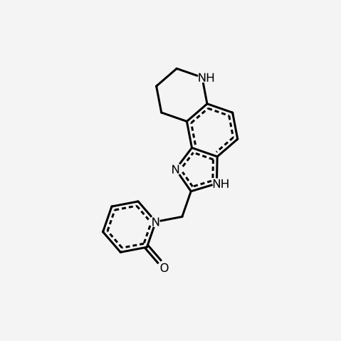 O=c1ccccn1Cc1nc2c3c(ccc2[nH]1)NCCC3